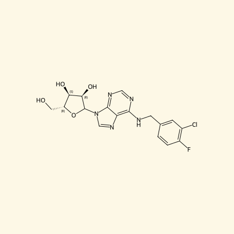 OC[C@H]1OC(n2cnc3c(NCc4ccc(F)c(Cl)c4)ncnc32)[C@H](O)[C@@H]1O